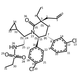 C=CC[C@@]1(CC)C[C@H](c2cccc(Cl)c2)[C@@H](c2ccc(Cl)cc2)N([C@H](CNS(=O)(=O)CC)C2CC2)C1=O